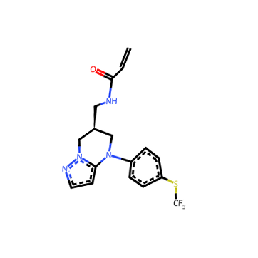 C=CC(=O)NC[C@H]1CN(c2ccc(SC(F)(F)F)cc2)c2ccnn2C1